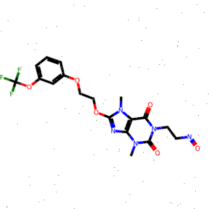 Cn1c(OCCOc2cccc(OC(F)(F)F)c2)nc2c1c(=O)n(CCN=O)c(=O)n2C